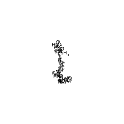 Cn1c(=O)n(C2CCC(=O)NC2=O)c2cccc(C#CCOC3CCN(C[C@H]4CC[C@H](n5cc(NC(=O)c6cnn7ccc(N8CCCOCC8)nc67)c(C(F)F)n5)CC4)CC3)c21